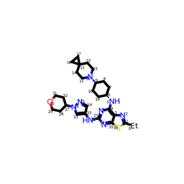 CCc1nc2c(N[C@H]3CC[C@H](N4CCC5(CC4)CC5)CC3)nc(Nc3cnn(C4CCOCC4)c3)nc2s1